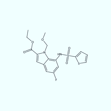 CCOC(=O)c1cc2cc(F)cc(NS(=O)(=O)c3cccs3)c2n1COC